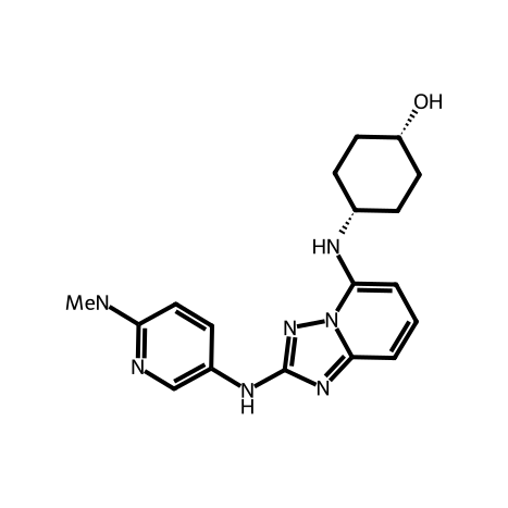 CNc1ccc(Nc2nc3cccc(N[C@H]4CC[C@@H](O)CC4)n3n2)cn1